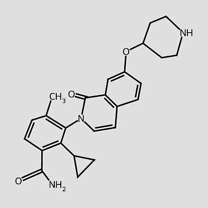 Cc1ccc(C(N)=O)c(C2CC2)c1-n1ccc2ccc(OC3CCNCC3)cc2c1=O